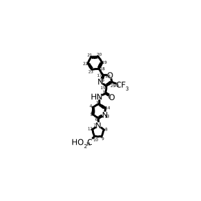 O=C(Nc1ccc(N2CCC(C(=O)O)C2)nc1)c1nc(-c2ccccc2)oc1C(F)(F)F